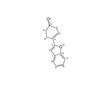 O=C1CC=C(c2cc3ccccc3o2)CC1